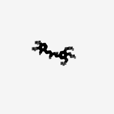 COc1cc(CNC(=S)/C=C/c2ccc(C)c(C)c2I)cc(OC)c1OC